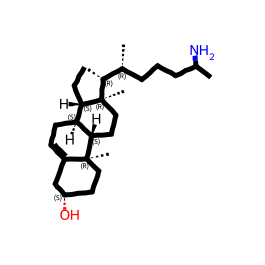 CC(N)CCC[C@@H](C)[C@H]1CC[C@H]2[C@@H]3CC=C4C[C@@H](O)CC[C@]4(C)[C@H]3CC[C@]12C